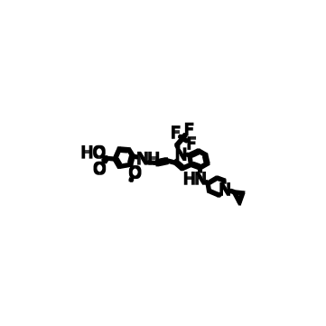 COc1cc(C(=O)O)ccc1NCC#Cc1cc2c(NC3CCN(C4CC4)CC3)cccc2n1CC(F)(F)F